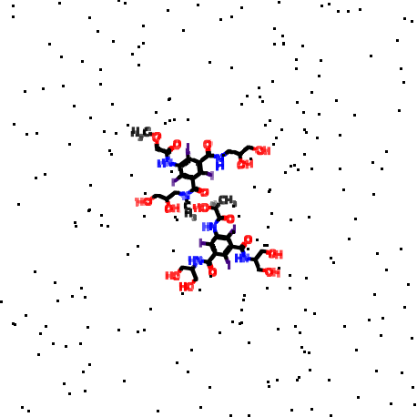 COCC(=O)Nc1c(I)c(C(=O)NCC(O)CO)c(I)c(C(=O)N(C)CC(O)CO)c1I.C[C@H](O)C(=O)Nc1c(I)c(C(=O)NC(CO)CO)c(I)c(C(=O)NC(CO)CO)c1I